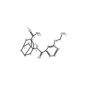 CCOc1cccc(C(=O)NC23CC4CC(C2)CC(C(N)=O)(C4)C3)c1